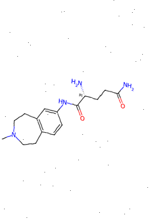 CN1CCc2ccc(NC(=O)[C@H](N)CCC(N)=O)cc2CC1